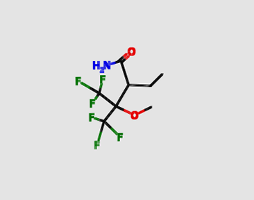 CCC(C(N)=O)C(OC)(C(F)(F)F)C(F)(F)F